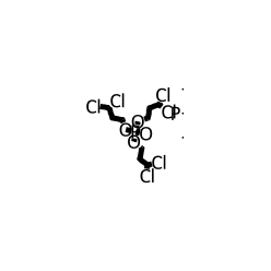 O=P(OCCC(Cl)Cl)(OCCC(Cl)Cl)OCCC(Cl)Cl.[P]